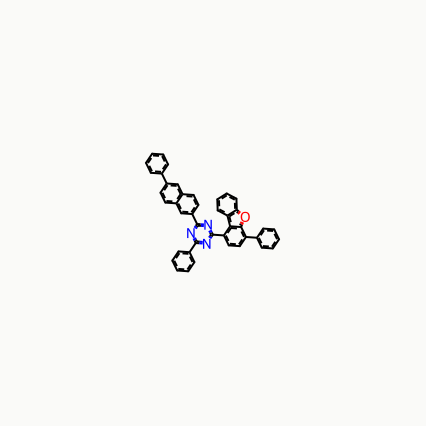 c1ccc(-c2ccc3cc(-c4nc(-c5ccccc5)nc(-c5ccc(-c6ccccc6)c6oc7ccccc7c56)n4)ccc3c2)cc1